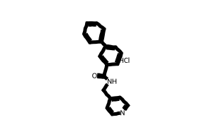 Cl.O=C(NCc1ccncc1)c1cccc(-c2ccccc2)c1